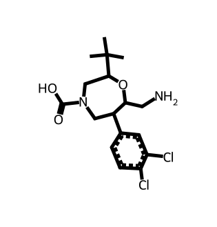 CC(C)(C)C1CN(C(=O)O)CC(c2ccc(Cl)c(Cl)c2)C(CN)O1